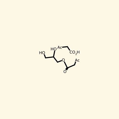 CC(=O)CC(=O)O.CC(=O)CC(=O)OCC(O)CO